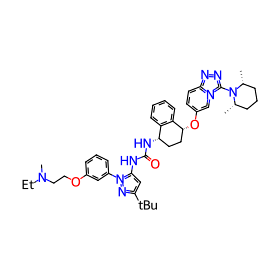 CCN(C)CCOc1cccc(-n2nc(C(C)(C)C)cc2NC(=O)N[C@H]2CC[C@@H](Oc3ccc4nnc(N5[C@H](C)CCC[C@@H]5C)n4c3)c3ccccc32)c1